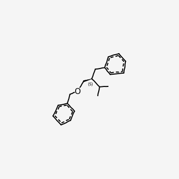 CC(C)[C@@H](COCc1ccccc1)Cc1ccccc1